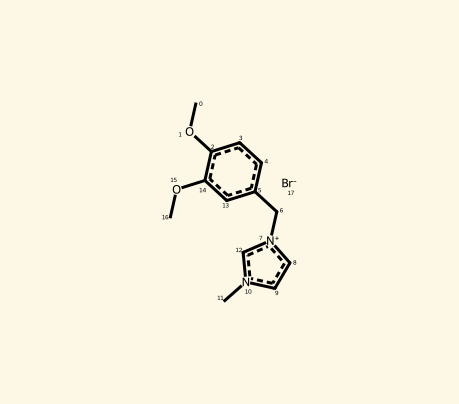 COc1ccc(C[n+]2ccn(C)c2)cc1OC.[Br-]